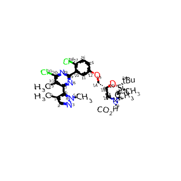 Cc1cnn(C)c1-c1nc(-c2cc(OC[C@@H](CN(C)C(=O)O)O[Si](C)(C)C(C)(C)C)ccc2Cl)nc(Cl)c1C